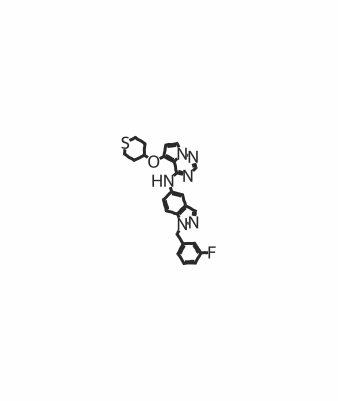 Fc1cccc(Cn2ncc3cc(Nc4ncnn5ccc(OC6CCSCC6)c45)ccc32)c1